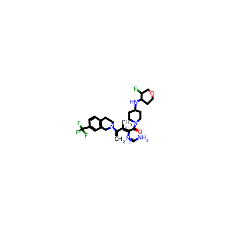 C=C(/C(C)=C(\N=C/N)C(=O)N1CCC(NC2CCOCC2F)CC1)N1CCc2ccc(C(F)(F)F)cc2C1